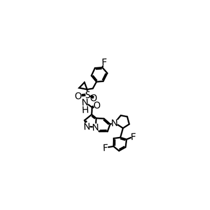 O=C(NS(=O)(=O)C1(Cc2ccc(F)cc2)CC1)c1cnn2ccc(N3CCCC3c3cc(F)ccc3F)cc12